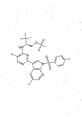 Cc1ccc(S(=O)(=O)n2cc(-c3ncc(F)c(N[C@H](COS(C)(=O)=O)C(C)(C)C)n3)c3cc(F)cnc32)cc1